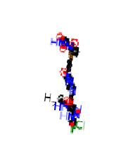 C=CC(=O)Nc1cc2c(Nc3ccc(F)c(Cl)c3)ncnc2cc1OCCCN1CCC(N2CCN(C(=O)CCCCCSc3cccc4c3CN(C3CCC(=O)NC3=O)C4=O)CC2)CC1